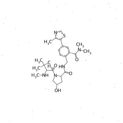 CNC(C(=O)N1CC(O)CC1C(=O)NCc1ccc(-c2scnc2C)cc1C(=O)N(C)C)C(C)(C)C